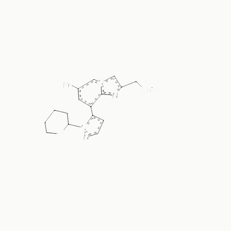 CC(=O)OCc1cn2cc(Br)cc(-c3ccnn3C3CCCCO3)c2n1